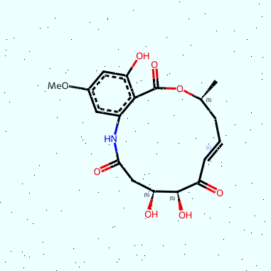 COc1cc(O)c2c(c1)NC(=O)C[C@H](O)[C@H](O)C(=O)/C=C/C[C@H](C)OC2=O